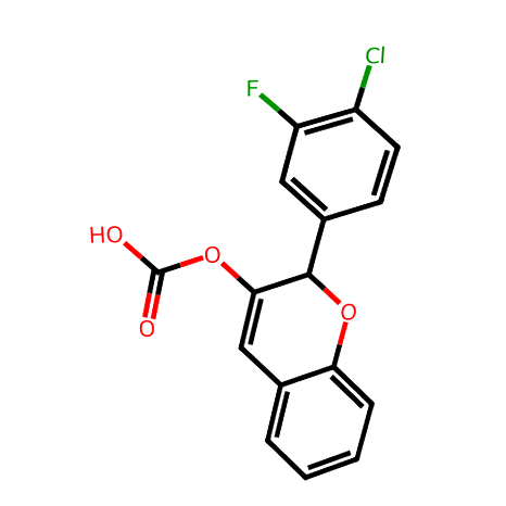 O=C(O)OC1=Cc2ccccc2OC1c1ccc(Cl)c(F)c1